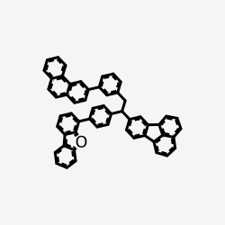 c1cc(CC(c2ccc(-c3cccc4c3oc3ccccc34)cc2)c2ccc3c(c2)-c2cccc4cccc-3c24)cc(-c2ccc3ccc4ccccc4c3c2)c1